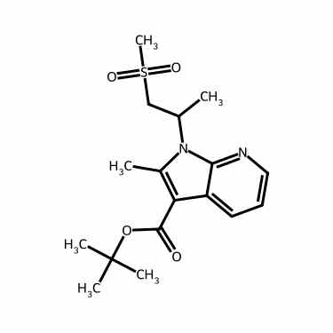 Cc1c(C(=O)OC(C)(C)C)c2cccnc2n1C(C)CS(C)(=O)=O